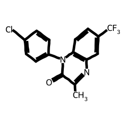 Cc1nc2cc(C(F)(F)F)ccc2n(-c2ccc(Cl)cc2)c1=O